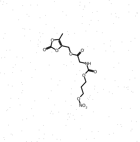 Cc1oc(=O)oc1COC(=O)CNC(=O)OCCCO[N+](=O)[O-]